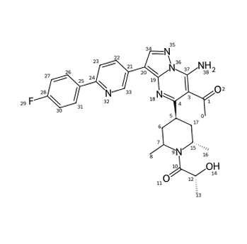 CC(=O)c1c([C@@H]2CC(C)N(C(=O)[C@@H](C)O)[C@@H](C)C2)nc2c(-c3ccc(-c4ccc(F)cc4)nc3)cnn2c1N